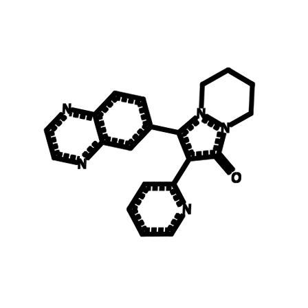 O=c1c(-c2ccccn2)c(-c2ccc3nccnc3c2)n2n1CCCC2